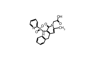 Cc1cc(Cc2ccccc2)c(NS(=O)(=O)c2ccccn2)c(=O)n1CC(=O)O